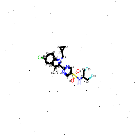 N#Cc1c(-c2ncc(S(=O)(=O)NC(CF)CF)cn2)n(CC2CC2)c2ccc(Cl)cc12